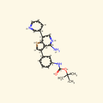 CC(C)(C)OC(=O)Nc1cccc(-c2csc3c(-c4cccnc4)cnc(N)c23)c1